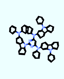 c1ccc(N(c2ccccc2)c2ccc3c4ccccc4n(-c4nc(N(c5ccccc5)c5ccc6c7ccccc7n(-c7ccccc7)c6c5)cc(N(c5ccccc5)c5ccc6c7ccccc7n(-c7ccccc7)c6c5)n4)c3c2)cc1